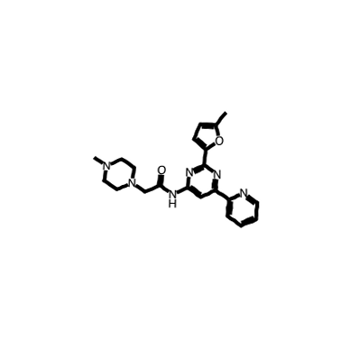 Cc1ccc(-c2nc(NC(=O)CN3CCN(C)CC3)cc(-c3ccccn3)n2)o1